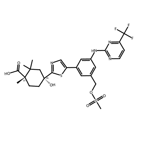 CC1(C)C[C@@](O)(c2ncc(-c3cc(COS(C)(=O)=O)cc(Nc4nccc(C(F)(F)F)n4)c3)s2)CC[C@]1(C)C(=O)O